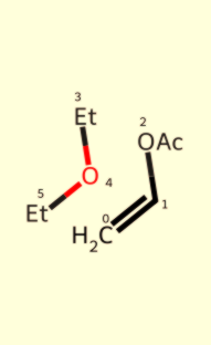 C=COC(C)=O.CCOCC